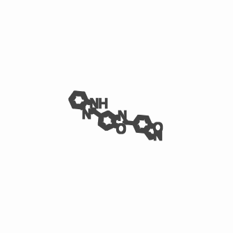 c1ccc2[nH]c(-c3ccc4oc(-c5ccc6oncc6c5)nc4c3)nc2c1